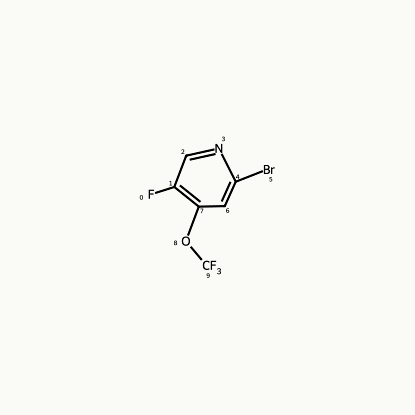 Fc1cnc(Br)cc1OC(F)(F)F